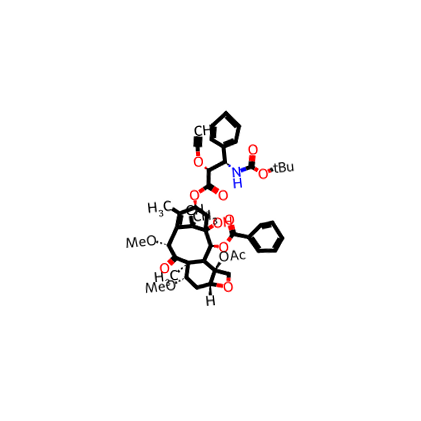 C#CO[C@@H](C(=O)O[C@H]1CC2(O)[C@@H](OC(=O)c3ccccc3)C3[C@](C)(C(=O)[C@H](OC)C(=C1C)C2(C)C)[C@@H](OC)C[C@H]1OC[C@@]31OC(C)=O)[C@@H](NC(=O)OC(C)(C)C)c1ccccc1